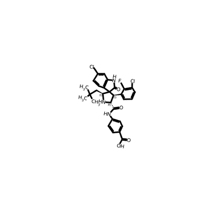 CC(C)(C)C[C@@H]1N[C@@H](C(=O)Nc2ccc(C(=O)O)cc2)[C@H](c2cccc(Cl)c2F)C12C(=O)Nc1cc(Cl)ccc12